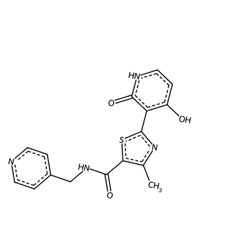 Cc1nc(-c2c(O)cc[nH]c2=O)sc1C(=O)NCc1ccncc1